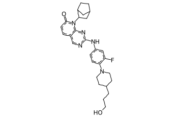 O=c1ccc2cnc(Nc3ccc(N4CCC(CCCO)CC4)c(F)c3)nc2n1C1CC2CCC1C2